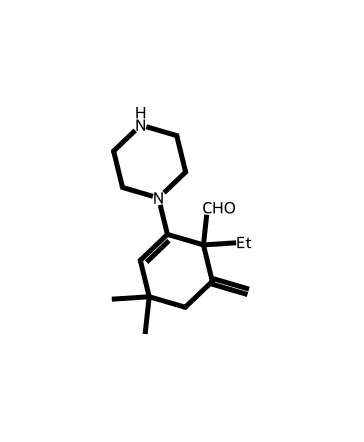 C=C1CC(C)(C)C=C(N2CCNCC2)C1(C=O)CC